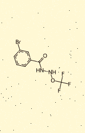 O=C(NNOC(F)(F)F)c1cccc(Br)c1